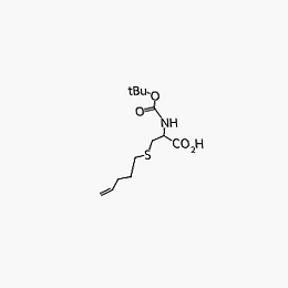 C=CCCCSCC(NC(=O)OC(C)(C)C)C(=O)O